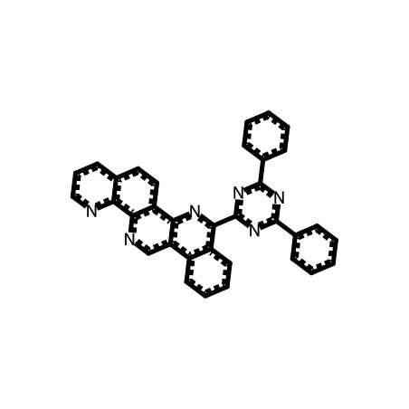 c1ccc(-c2nc(-c3ccccc3)nc(-c3nc4c(cnc5c4ccc4cccnc45)c4ccccc34)n2)cc1